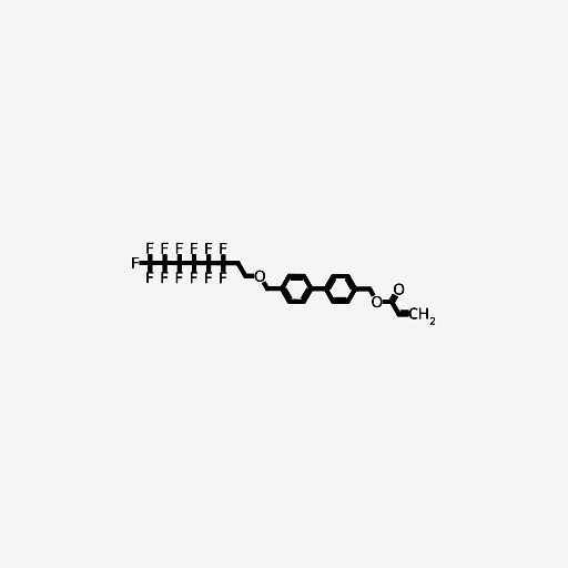 C=CC(=O)OCc1ccc(-c2ccc(COCCC(F)(F)C(F)(F)C(F)(F)C(F)(F)C(F)(F)C(F)(F)F)cc2)cc1